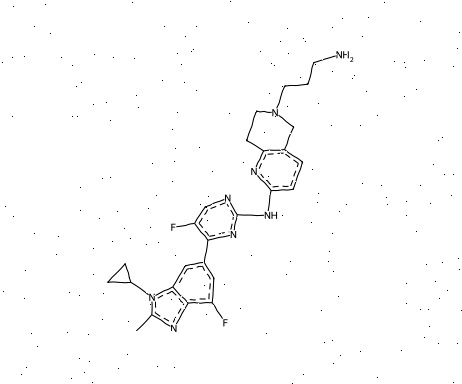 Cc1nc2c(F)cc(-c3nc(Nc4ccc5c(n4)CCN(CCCN)C5)ncc3F)cc2n1C1CC1